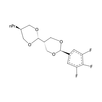 CCC[C@H]1CO[C@H]([C@H]2CO[C@H](c3cc(F)c(F)c(F)c3)OC2)OC1